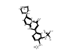 COc1ccc(-c2cc(=O)n3cc(N4CCNCC4)ccc3n2)cc1OC(F)(F)F